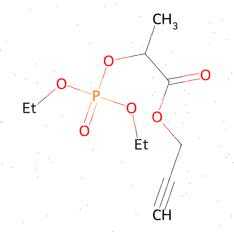 C#CCOC(=O)C(C)OP(=O)(OCC)OCC